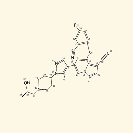 Cc1c(-c2cc(Sc3ccc(F)cc3C#N)c3c(C#N)cnn3c2)cnn1C1CCN(C[C@@H](C)O)CC1